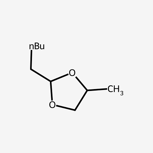 CCCCCC1OCC(C)O1